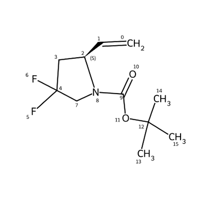 C=C[C@@H]1CC(F)(F)CN1C(=O)OC(C)(C)C